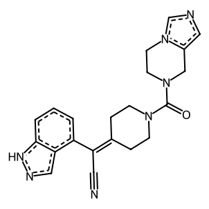 N#CC(=C1CCN(C(=O)N2CCn3cncc3C2)CC1)c1cccc2[nH]ncc12